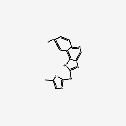 Cc1cnc(Cc2nc3cnc4ccc(Cl)cc4c3[nH]2)o1